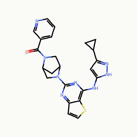 O=C(c1cccnc1)N1CC2CC1CN2c1nc(Nc2cc(C3CC3)n[nH]2)c2sccc2n1